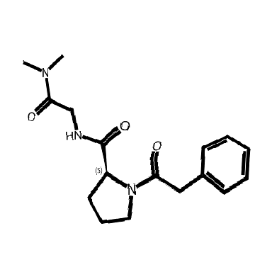 CN(C)C(=O)CNC(=O)[C@@H]1CCCN1C(=O)Cc1ccccc1